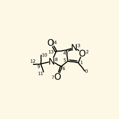 Cc1onc2c1C(=O)N(C(C)(C)C)C2=O